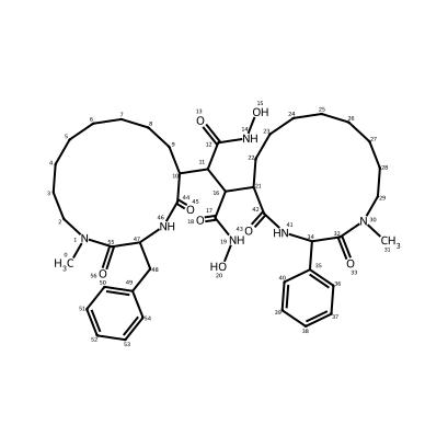 CN1CCCCCCCCC(C(C(=O)NO)C(C(=O)NO)C2CCCCCCCCN(C)C(=O)C(c3ccccc3)NC2=O)C(=O)NC(Cc2ccccc2)C1=O